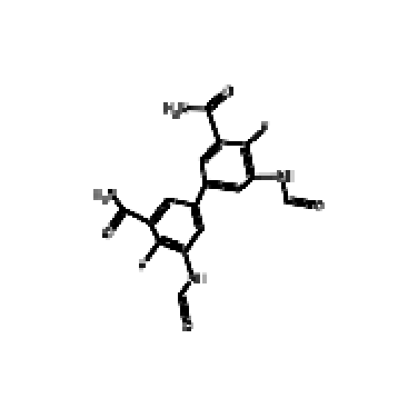 NC(=O)c1cc(-c2cc(NC=O)c(F)c(C(N)=O)c2)cc(NC=O)c1F